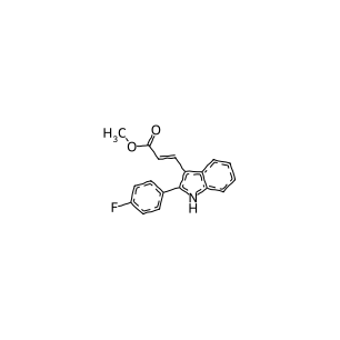 COC(=O)/C=C/c1c(-c2ccc(F)cc2)[nH]c2ccccc12